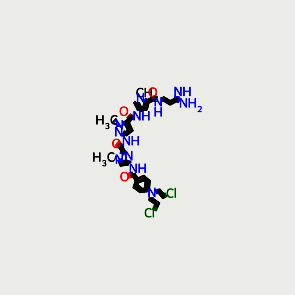 Cn1cc(NC(=O)c2cc(NC(=O)c3nc(NC(=O)c4ccc(N(CCCl)CCCl)cc4)cn3C)nn2C)cc1C(=O)NCCC(=N)N